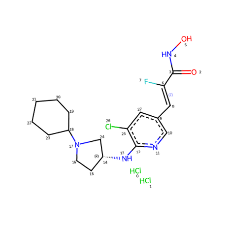 Cl.Cl.O=C(NO)/C(F)=C/c1cnc(N[C@@H]2CCN(C3CCCCC3)C2)c(Cl)c1